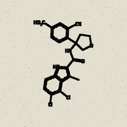 Cc1c(C(=O)NC2(c3ccc(C(=O)O)cc3C#N)CCOC2)[nH]c2ccc(Cl)c(Cl)c12